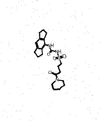 O=C(Nc1c2c(cc3c1CCC3)CCC2)NS(=O)(=O)CCCC(=O)N1CCCCC1